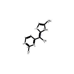 CC(C)(C)C1=CS/C(=C(/C#N)c2ccnc(Cl)n2)N1